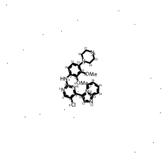 COc1c(Nc2ncc(Cl)c(-c3cnc4ccccn34)n2)ccc(N2CC[N]CC2)c1OC